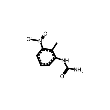 Cc1c(NC(N)=O)cccc1[N+](=O)[O-]